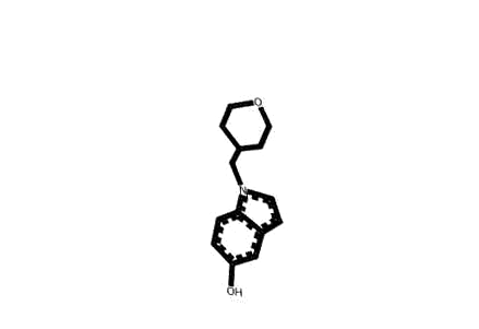 Oc1ccc2c([c]cn2CC2CCOCC2)c1